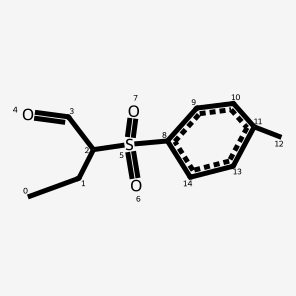 CCC(C=O)S(=O)(=O)c1ccc(C)cc1